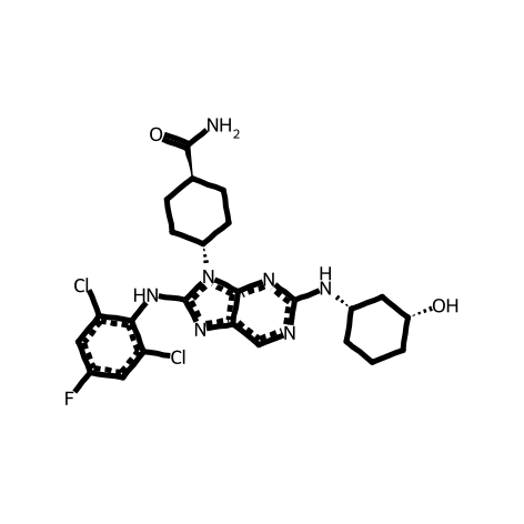 NC(=O)[C@H]1CC[C@H](n2c(Nc3c(Cl)cc(F)cc3Cl)nc3cnc(N[C@H]4CCC[C@@H](O)C4)nc32)CC1